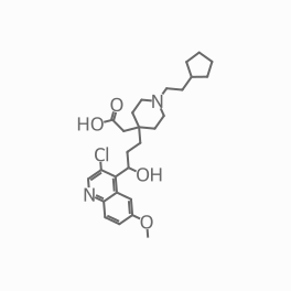 COc1ccc2ncc(Cl)c(C(O)CCC3(CC(=O)O)CCN(CCC4CCCC4)CC3)c2c1